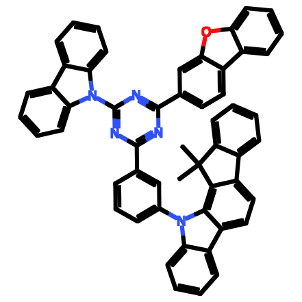 CC1(C)c2ccccc2-c2ccc3c4ccccc4n(-c4cccc(-c5nc(-c6ccc7c(c6)oc6ccccc67)nc(-n6c7ccccc7c7ccccc76)n5)c4)c3c21